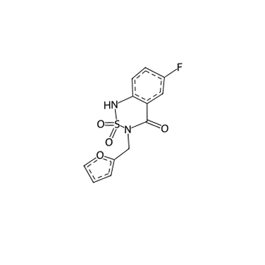 O=C1c2cc(F)ccc2NS(=O)(=O)N1Cc1ccco1